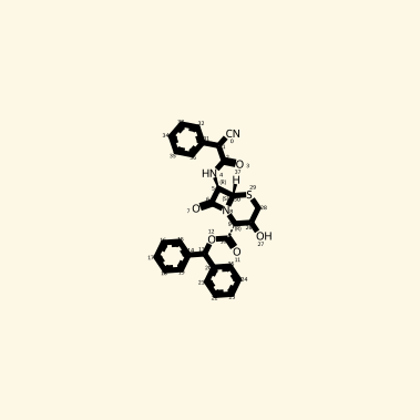 N#CC(C(=O)N[C@@H]1C(=O)N2[C@@H](C(=O)OC(c3ccccc3)c3ccccc3)C(O)CS[C@@H]12)c1ccccc1